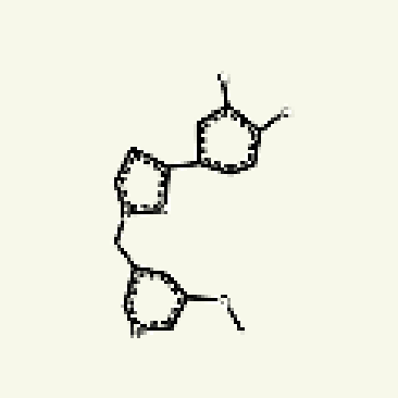 COc1cncc(Cn2ccc(-c3ccc(Cl)c(Cl)c3)n2)c1